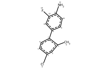 Cc1cc(Cl)ccc1-c1ccc(N)c(F)c1